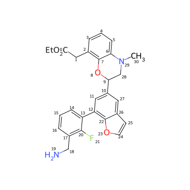 CCOC(=O)Cc1cccc2c1OC(c1cc(-c3cccc(CN)c3F)c3occc3c1)CN2C